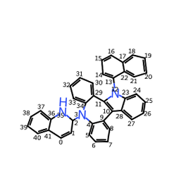 C1=CC(N2c3ccccc3-c3c(n(-c4cccc5ccccc45)c4ccccc34)-c3ccccc32)Nc2ccccc21